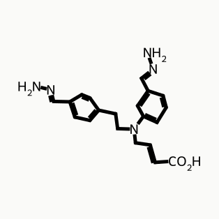 NN=Cc1ccc(CCN(CC=CC(=O)O)c2cccc(C=NN)c2)cc1